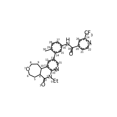 CCN1C(=O)C2CCOCCC2c2cc(-c3cc(NC(=O)c4ccnc(C(F)(F)F)c4)ccc3C)cnc21